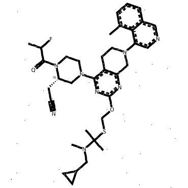 Cc1cccc2cncc(N3CCc4c(nc(OCSC(C)(C)N(C)CC5CC5)nc4N4CCN(C(=O)C(C)F)[C@@H](CC#N)C4)C3)c12